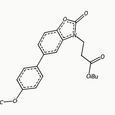 CC(C)COC(=O)CCn1c(=O)oc2ccc(-c3ccc(OC(F)(F)F)cc3)cc21